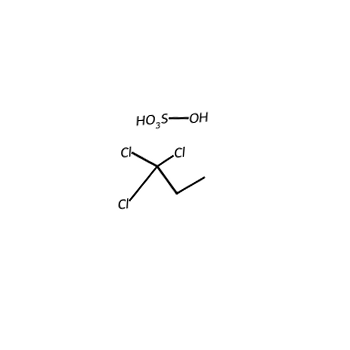 CCC(Cl)(Cl)Cl.O=S(=O)(O)O